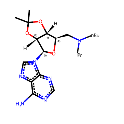 CCCCN(C[C@H]1O[C@@H](n2cnc3c(N)ncnc32)[C@@H]2OC(C)(C)O[C@@H]21)C(C)C